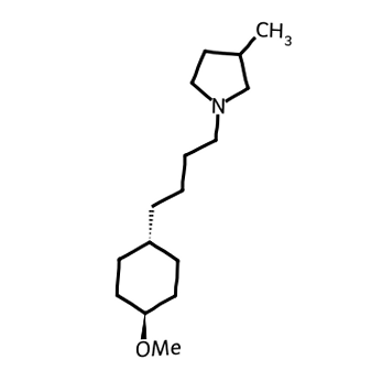 CO[C@H]1CC[C@H](CCCCN2CCC(C)C2)CC1